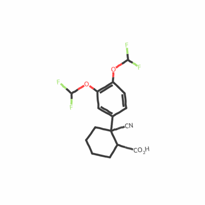 N#CC1(c2ccc(OC(F)F)c(OC(F)F)c2)CCCCC1C(=O)O